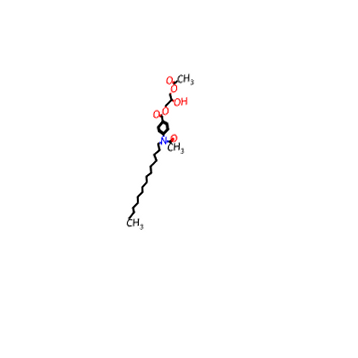 CCCCCCCCCCCCCCCCN(C(C)=O)c1ccc(C(=O)OCC(O)COC(C)=O)cc1